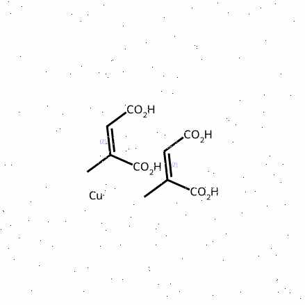 C/C(=C/C(=O)O)C(=O)O.C/C(=C/C(=O)O)C(=O)O.[Cu]